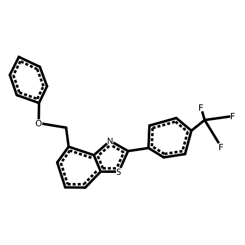 FC(F)(F)c1ccc(-c2nc3c(COc4ccccc4)cccc3s2)cc1